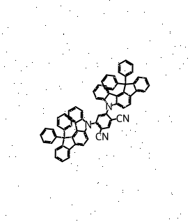 N#Cc1cc(C#N)c(-n2c3ccccc3c3c4c(ccc32)-c2ccccc2C4(c2ccccc2)c2ccccc2)cc1-n1c2ccccc2c2c3c(ccc21)-c1ccccc1C3(c1ccccc1)c1ccccc1